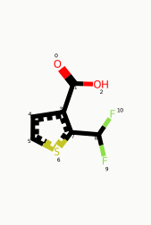 O=C(O)c1ccsc1C(F)F